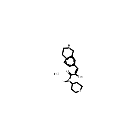 CCN(C(=O)/C(C#N)=C\c1ccc2c(c1)CNCC2)C1CCOCC1.Cl